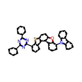 c1ccc(-c2nc(-c3ccccc3)nc(-c3cccc4c3sc3ccc5oc6c(-n7c8ccccc8c8ccccc87)cccc6c5c34)n2)cc1